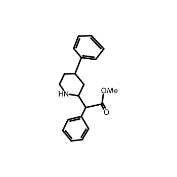 COC(=O)C(c1ccccc1)C1CC(c2ccccc2)CCN1